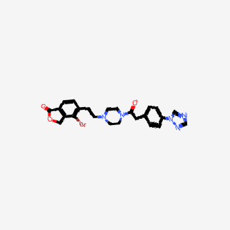 O=C1OCc2c1ccc(CCN1CCN(C(=O)Cc3ccc(-n4cncn4)cc3)CC1)c2Br